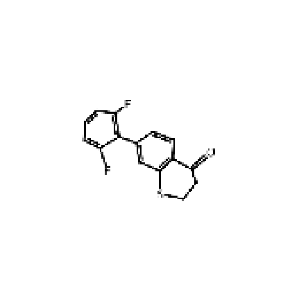 O=C1CCSc2cc(-c3c(F)cccc3F)ccc21